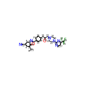 CC(C)c1cc(C#N)cc2nc(-c3ccc(CC(=O)CN4CCN(c5nccc(C(F)(F)F)n5)CC4)cc3)oc12